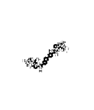 COC(=O)N[C@H](C(=O)N1C(C)CCC1c1nc(-c2ccc3cc(-c4ccc(-c5[nH]c([C@@H]6CC[C@H](C)N6C(=O)[C@@H](NC(=O)O)C(C)C)nc5Cl)cc4)ccc3c2)c[nH]1)C(C)C